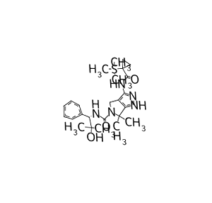 CC(C)(O)[C@@H](NC(=O)N1Cc2c(NC(=O)C3(S(C)(C)C)CC3)n[nH]c2C1(C)C)c1ccccc1